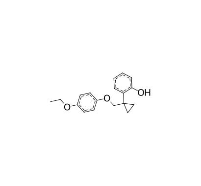 CCOc1ccc(OCC2(c3ccccc3O)CC2)cc1